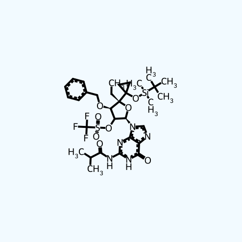 CC[C@@]1(C2(O[Si](C)(C)C(C)(C)C)CC2)O[C@@H](n2cnc3c(=O)[nH]c(NC(=O)C(C)C)nc32)C(OS(=O)(=O)C(F)(F)F)[C@H]1OCc1ccccc1